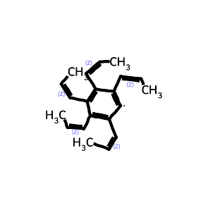 C/C=C\c1[c]c(/C=C\C)c(/C=C\C)c(/C=C\C)c1/C=C\C